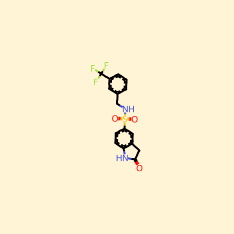 O=C1Cc2cc(S(=O)(=O)NCc3cccc(C(F)(F)F)c3)ccc2N1